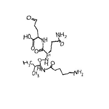 CC(C)[C@@H](NC(=O)CCCCN)ON[C@H](CCC(N)=O)C(=O)NC(CCC=O)C(=O)O